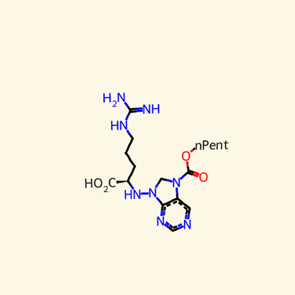 CCCCCOC(=O)N1CN(N[C@H](CCCNC(=N)N)C(=O)O)c2ncncc21